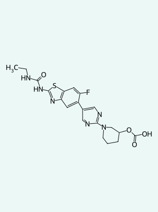 CCNC(=O)Nc1nc2cc(-c3cnc(N4CCCC(OC(=O)O)C4)nc3)c(F)cc2s1